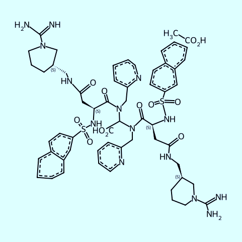 CC(=O)O.N=C(N)N1CCC[C@@H](CNC(=O)C[C@H](NS(=O)(=O)c2ccc3ccccc3c2)C(=O)N(Cc2ccccn2)C(C(=O)O)N(Cc2ccccn2)C(=O)[C@H](CC(=O)NC[C@@H]2CCCN(C(=N)N)C2)NS(=O)(=O)c2ccc3ccccc3c2)C1